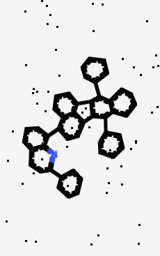 c1ccc(-c2ccc3cccc(-c4ccc5c6c(cccc46)-c4c-5c(-c5ccccc5)c5ccccc5c4-c4ccccc4)c3n2)cc1